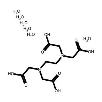 O.O.O.O.O.O.O=C(O)CN(CCN(CC(=O)O)CC(=O)O)CC(=O)O